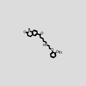 CCOc1ccccc1OCCNCCCCC(=O)c1ccc2c(c1)CCC(=O)N2C